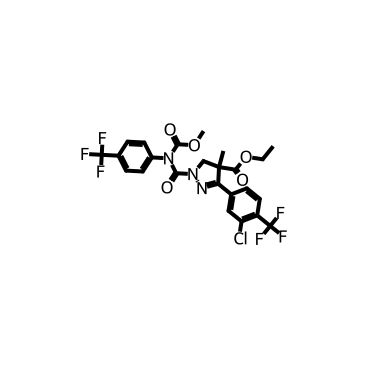 CCOC(=O)C1(C)CN(C(=O)N(C(=O)OC)c2ccc(C(F)(F)F)cc2)N=C1c1ccc(C(F)(F)F)c(Cl)c1